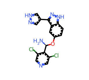 N[C@@H](Oc1ccc2[nH]nc(-c3cn[nH]c3)c2c1)c1c(Cl)cncc1Cl